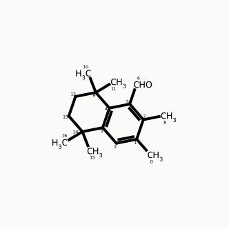 Cc1cc2c(c(C=O)c1C)C(C)(C)CCC2(C)C